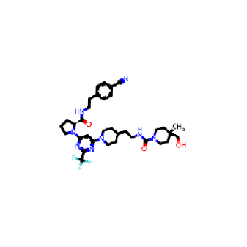 CC1(CO)CCN(C(=O)NCCC2CCN(c3cc(N4CCC[C@H]4C(=O)NCCc4ccc(C#N)cc4)nc(C(F)(F)F)n3)CC2)CC1